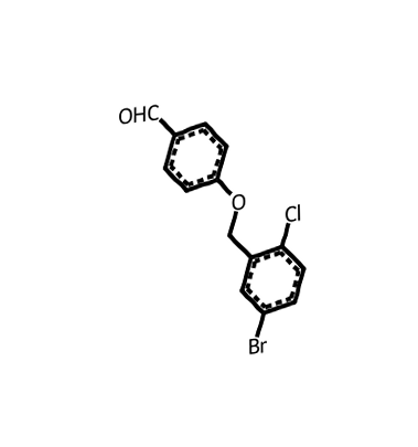 O=Cc1ccc(OCc2cc(Br)ccc2Cl)cc1